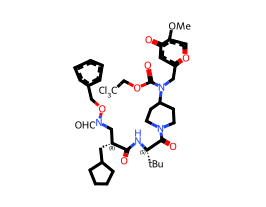 COc1coc(CN(C(=O)OCC(Cl)(Cl)Cl)C2CCN(C(=O)[C@@H](NC(=O)[C@H](CC3CCCC3)CN(C=O)OCc3ccccc3)C(C)(C)C)CC2)cc1=O